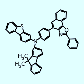 CC1(C)c2ccccc2-c2ccc(N(c3ccc(-c4cc5ccccc5c5oc(-c6ccccc6)nc45)cc3)c3ccc4c(c3)sc3ccccc34)cc21